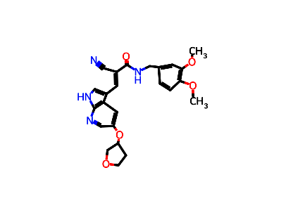 COc1ccc(CNC(=O)/C(C#N)=C/c2c[nH]c3ncc(OC4CCOC4)cc23)cc1OC